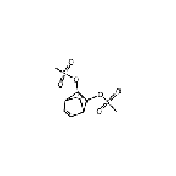 CS(=O)(=O)OC1C2C=CC(O2)C1OS(C)(=O)=O